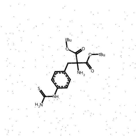 CC(C)(C)OC(=O)C(N)(Cc1ccc(NC(N)=S)cc1)C(=O)OC(C)(C)C